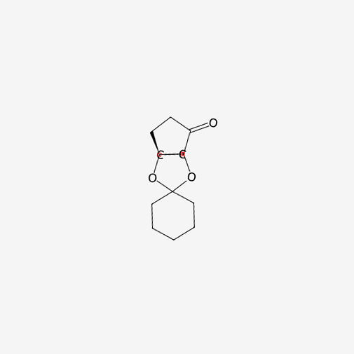 O=C1CC[C@]23CC[C@]12OC1(CCCCC1)O3